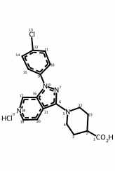 Cl.O=C(O)C1CCN(c2nn(-c3ccc(Cl)cc3)c3cnccc23)CC1